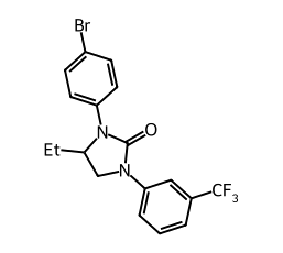 CCC1CN(c2cccc(C(F)(F)F)c2)C(=O)N1c1ccc(Br)cc1